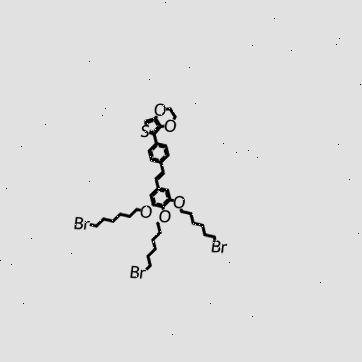 BrCCCCCCOc1cc(/C=C/c2ccc(-c3scc4c3OCCO4)cc2)cc(OCCCCCCBr)c1OCCCCCCBr